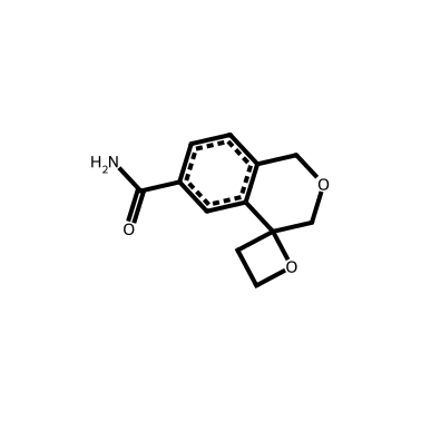 NC(=O)c1ccc2c(c1)C1(CCO1)COC2